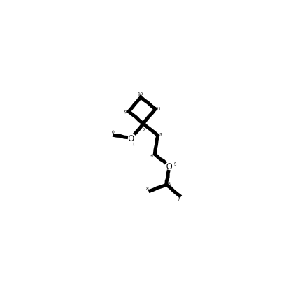 COC1(CCOC(C)C)CCC1